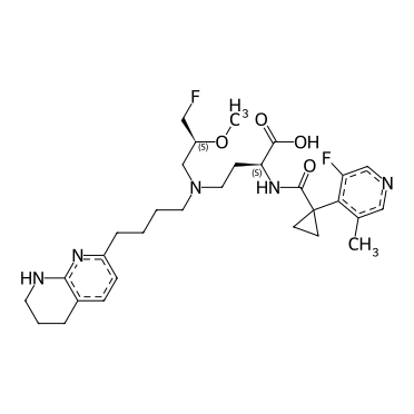 CO[C@H](CF)CN(CCCCc1ccc2c(n1)NCCC2)CC[C@H](NC(=O)C1(c2c(C)cncc2F)CC1)C(=O)O